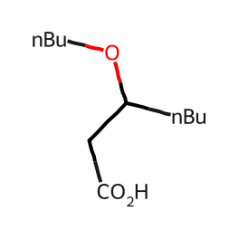 CCCCOC(CCCC)CC(=O)O